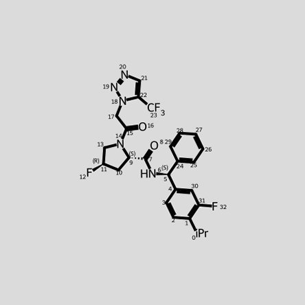 CC(C)c1ccc([C@@H](NC(=O)[C@@H]2C[C@@H](F)CN2C(=O)Cn2nncc2C(F)(F)F)c2ccccc2)cc1F